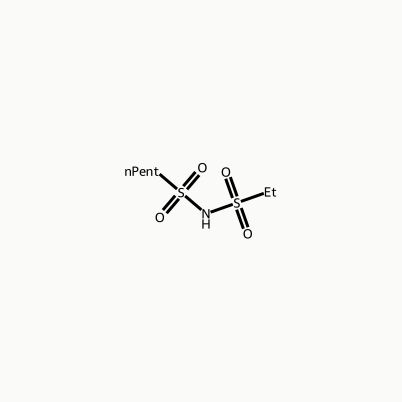 CCCCCS(=O)(=O)NS(=O)(=O)CC